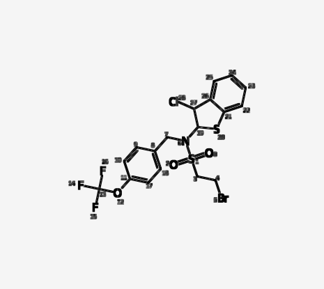 O=S(=O)(CCBr)N(Cc1ccc(OC(F)(F)F)cc1)C1Sc2ccccc2C1Cl